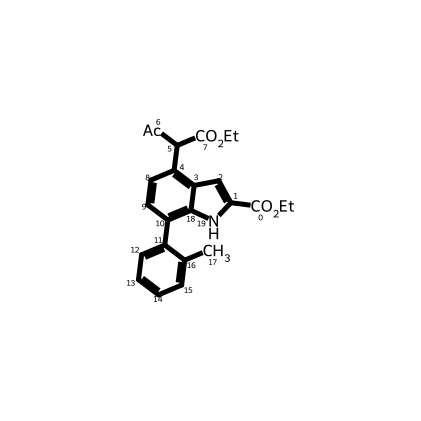 CCOC(=O)c1cc2c(C(C(C)=O)C(=O)OCC)ccc(-c3ccccc3C)c2[nH]1